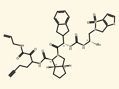 C#CCCC(NC(=O)[C@@H]1[C@H]2CCC[C@H]2CN1C(=O)[C@@H](NC(=O)N[C@H](CN1Cc2sccc2S1(=O)=O)C(C)(C)C)C1Cc2ccccc2C1)C(=O)C(=O)NCC=C